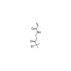 C=CC(=O)NCCC(=O)C(C)(C)CC